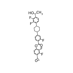 CC(O)c1ccc(C2CCC(c3ccc(C(=O)Oc4ccc(C5CO5)c(F)c4F)c(F)c3)CC2)c(F)c1F